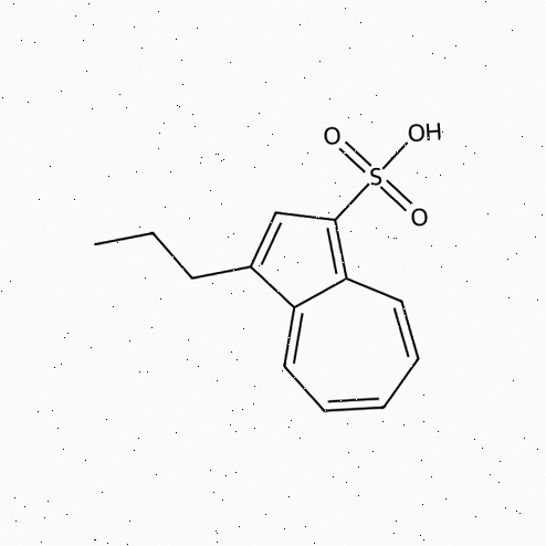 CCCc1cc(S(=O)(=O)O)c2cccccc1-2